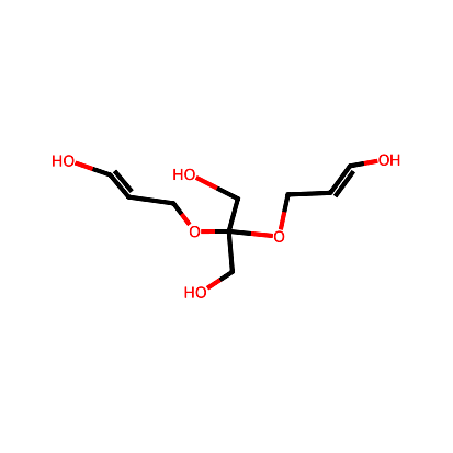 OC=CCOC(CO)(CO)OCC=CO